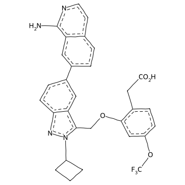 Nc1nccc2ccc(-c3ccc4nn(C5CCC5)c(COc5cc(OC(F)(F)F)ccc5CC(=O)O)c4c3)cc12